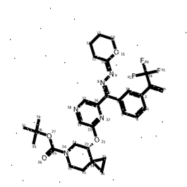 C=C(c1cccc(/C(=N\N=C2/CCCCO2)c2cncc(O[C@H]3CN(C(=O)OC(C)(C)C)CCC34CC4)n2)c1)C(F)(F)F